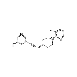 Cc1cccnc1N1CCC(=CC#Cc2cncc(F)c2)CC1